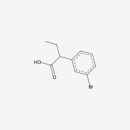 CCC(C(=O)O)c1cccc(Br)c1